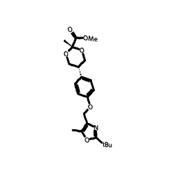 COC(=O)[C@]1(C)OC[C@H](c2ccc(OCc3nc(C(C)(C)C)oc3C)cc2)CO1